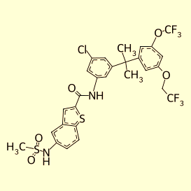 CC(C)(c1cc(Cl)cc(NC(=O)c2cc3cc(NS(C)(=O)=O)ccc3s2)c1)c1cc(OCC(F)(F)F)cc(OC(F)(F)F)c1